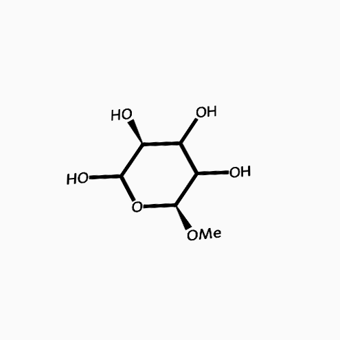 CO[C@H]1OC(O)[C@@H](O)C(O)C1O